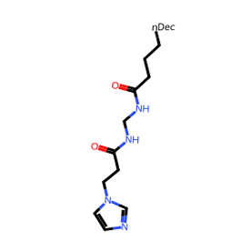 CCCCCCCCCCCCCC(=O)NCNC(=O)CCn1ccnc1